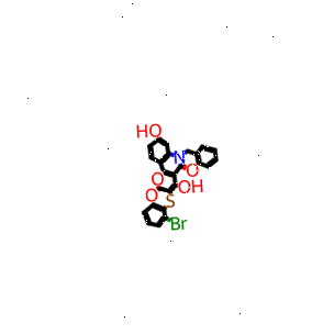 O=c1oc2c(c(O)c1Sc1ccccc1Br)c(=O)n(Cc1ccccc1)c1cc(O)ccc21